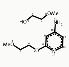 COCCO.COCCOc1cc(N)ccn1